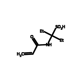 C=CC(=O)NC(CC)(CC)S(=O)(=O)O